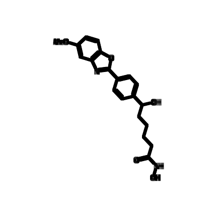 COc1ccc2oc(-c3ccc(C(O)CCCCC(=O)NO)cc3)nc2c1